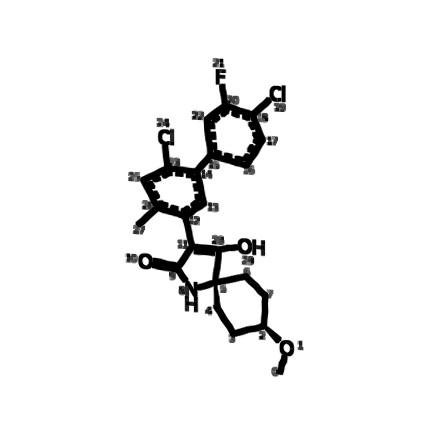 CO[C@H]1CC[C@@]2(CC1)NC(=O)C(c1cc(-c3ccc(Cl)c(F)c3)c(Cl)cc1C)=C2O